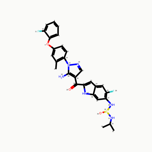 Cc1cc(Oc2ccccc2F)ccc1-n1ncc(C(=O)c2cc3cc(F)c(N[S+]([O-])NC(C)C)cc3[nH]2)c1N